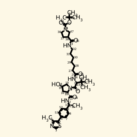 Cc1ncsc1-c1ccc([C@H](C)NC(=O)[C@@H]2C[C@@H](O)CN2C(=O)[C@@H](NC(=O)CCCCCCNC(=O)C2CCN(C(=O)OC(C)(C)C)C2)C(C)(C)C)cc1